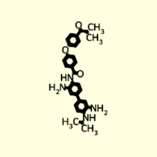 CC(C)Nc1ccc(-c2ccc(NC(=O)c3ccc(Oc4ccc(C(=O)C(C)C)cc4)cc3)c(N)c2)cc1N